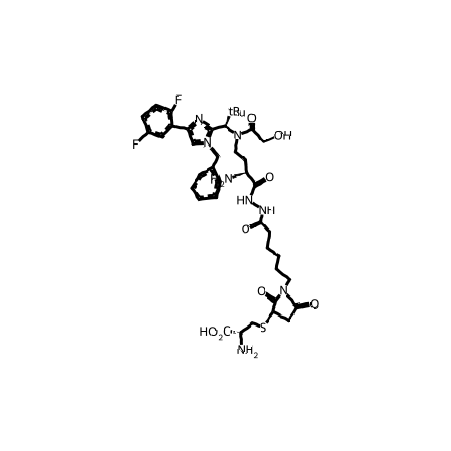 CC(C)(C)[C@H](c1nc(-c2cc(F)ccc2F)cn1Cc1ccccc1)N(CC[C@H](N)C(=O)NNC(=O)CCCCCN1C(=O)CC(SC[C@H](N)C(=O)O)C1=O)C(=O)CO